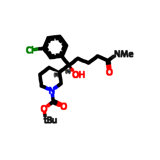 CNC(=O)CCC[C@@](O)(c1cccc(Cl)c1)[C@@H]1CCCN(C(=O)OC(C)(C)C)C1